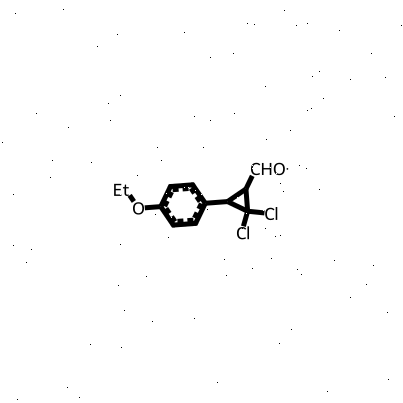 CCOc1ccc(C2C([C]=O)C2(Cl)Cl)cc1